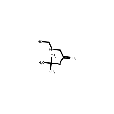 C=C(CNCS)NC(C)(C)C